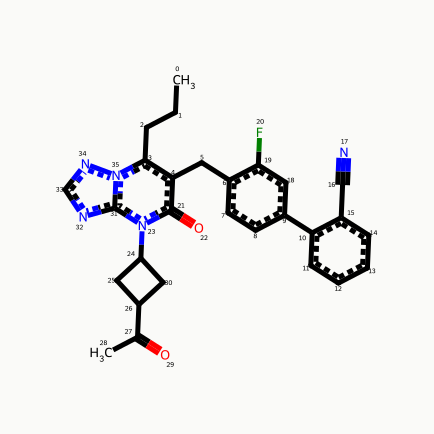 CCCc1c(Cc2ccc(-c3ccccc3C#N)cc2F)c(=O)n(C2CC(C(C)=O)C2)c2ncnn12